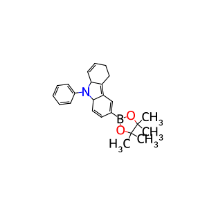 CC1(C)OB(C2=CC3=C4CCC=CC4N(c4ccccc4)C3C=C2)OC1(C)C